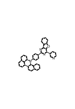 c1cncc(-c2nc(-c3ccc(N4c5c(ccc6ccccc56)-c5cccc6cccc4c56)cc3)nc3c2oc2ccccc23)c1